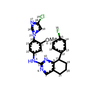 COc1cc(Nc2ncc3c(n2)C(c2ccc(F)cc2)CCC3)ccc1-n1cnc(Cl)c1